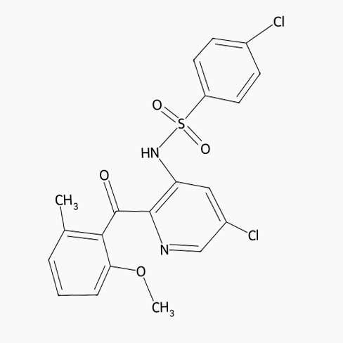 COc1cccc(C)c1C(=O)c1ncc(Cl)cc1NS(=O)(=O)c1ccc(Cl)cc1